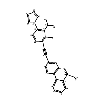 Cc1c(C#Cc2ccc(-c3ccccc3C(=O)O)cc2)ccc(-n2ccnc2)c1C(C)C